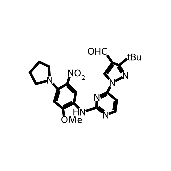 COc1cc(N2CCCC2)c([N+](=O)[O-])cc1Nc1nccc(-n2cc(C=O)c(C(C)(C)C)n2)n1